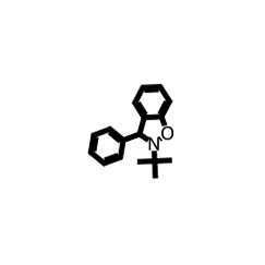 CC(C)(C)N1Oc2ccccc2C1c1ccccc1